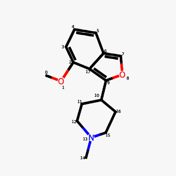 COc1cccc2coc(C3CCN(C)CC3)c12